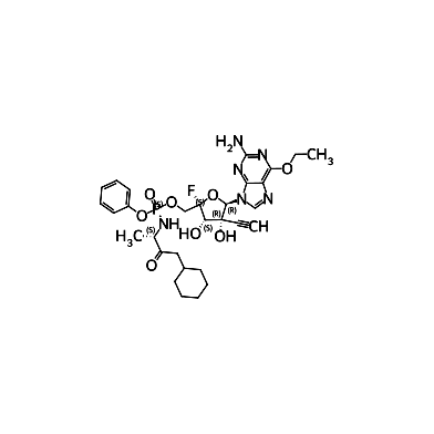 C#C[C@]1(O)[C@H](n2cnc3c(OCC)nc(N)nc32)O[C@](F)(CO[P@@](=O)(N[C@@H](C)C(=O)CC2CCCCC2)Oc2ccccc2)[C@H]1O